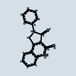 O=C1c2c(c3ccccc3[nH]c2=O)CN1c1ccccc1